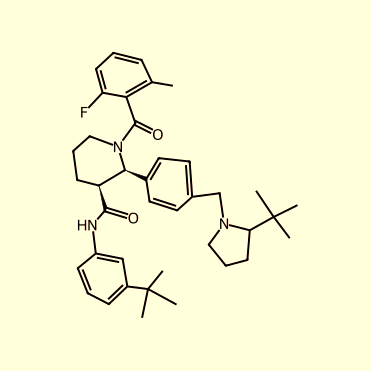 Cc1cccc(F)c1C(=O)N1CCC[C@H](C(=O)Nc2cccc(C(C)(C)C)c2)[C@@H]1c1ccc(CN2CCCC2C(C)(C)C)cc1